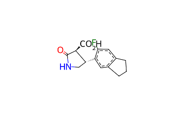 O=C(O)[C@@H]1C(=O)NC[C@H]1c1cc2c(cc1F)CCC2